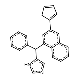 C1=CCC(c2cc(C(c3ccccc3)c3cnc[nH]3)c3cccnc3c2)=C1